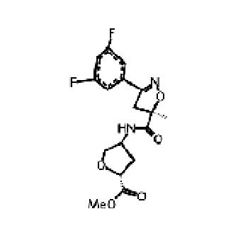 COC(=O)[C@H]1C[C@H](NC(=O)[C@@]2(C)CC(c3cc(F)cc(F)c3)=NO2)CO1